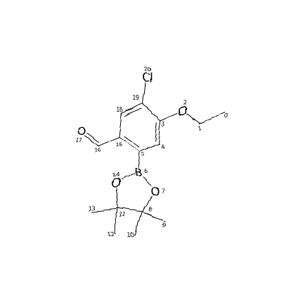 CCOc1cc(B2OC(C)(C)C(C)(C)O2)c(C=O)cc1Cl